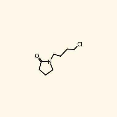 O=C1CCCN1CCCCCl